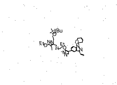 C=Cc1nn(C2CCCCO2)c2ccc(-c3cnn(C)c3O[C@H](CC)CN(C)Cc3c(I)c(OCC)nn3CCO[Si](C)(C)C(C)(C)C)cc12